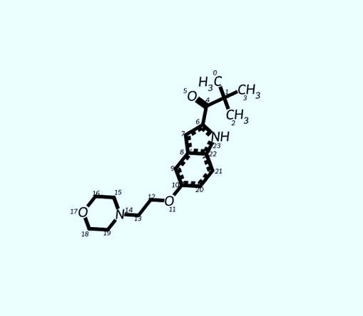 CC(C)(C)C(=O)c1cc2cc(OCCN3CCOCC3)ccc2[nH]1